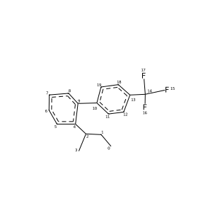 CCC(C)c1ccccc1-c1ccc(C(F)(F)F)cc1